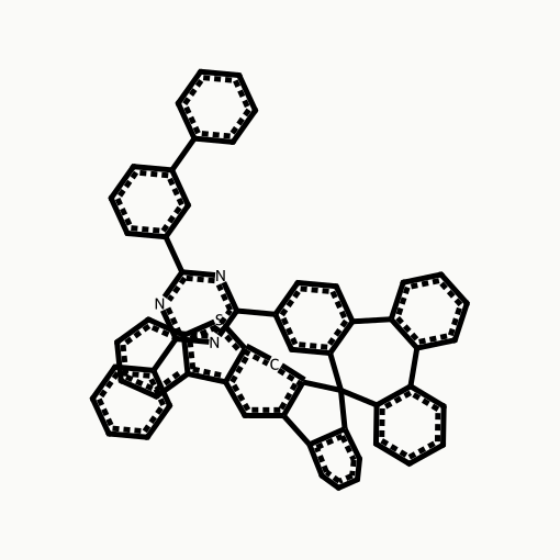 c1ccc(-c2cccc(-c3nc(-c4ccccc4)nc(-c4ccc5c(c4)C4(c6ccccc6-c6ccccc6-5)c5ccccc5-c5cc6c(cc54)sc4ccccc46)n3)c2)cc1